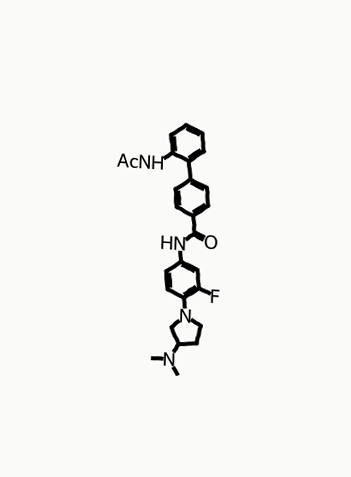 CC(=O)Nc1ccccc1-c1ccc(C(=O)Nc2ccc(N3CCC(N(C)C)C3)c(F)c2)cc1